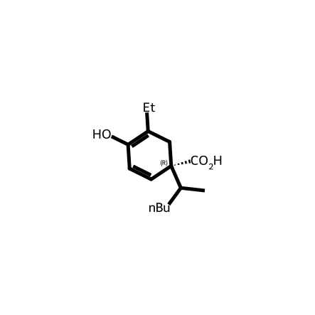 CCCCC(C)[C@@]1(C(=O)O)C=CC(O)=C(CC)C1